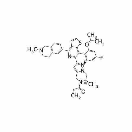 C=CC(=O)N1Cc2cc(-c3nc(-c4ccc5c(c4)CCN(C)C5)c4ccsc4c3-c3c(F)cc(F)cc3OC(C)C)nn2C[C@H]1C